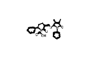 CC1=C(C)C(OC=C2CCC(c3ccccc3)N(C(=O)O)C2=O)N(c2ccccc2)C1=O